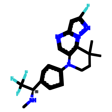 CN[C@@H](c1ccc(N2CCC(C)(C)c3c2cnc2cc(F)nn32)cc1)C(F)(F)F